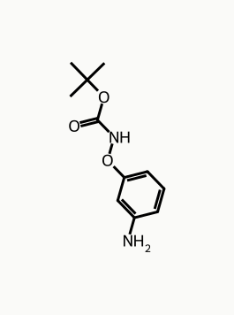 CC(C)(C)OC(=O)NOc1cccc(N)c1